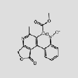 COC(=O)Oc1c(C)nc2c(c1-c1ccccc1[N+](=O)[O-])C(=O)OC2